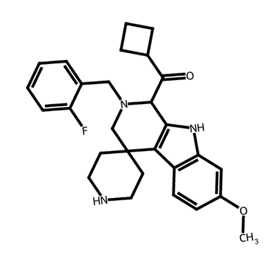 COc1ccc2c3c([nH]c2c1)C(C(=O)C1CCC1)N(Cc1ccccc1F)CC31CCNCC1